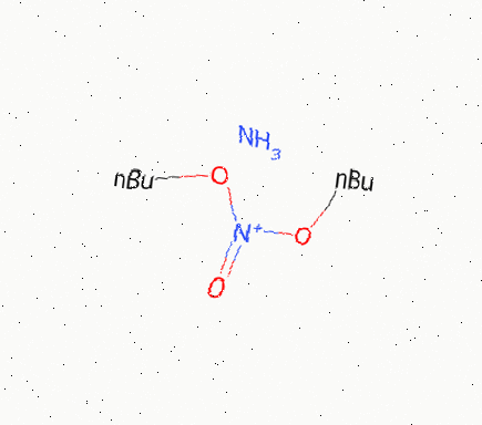 CCCCO[N+](=O)OCCCC.N